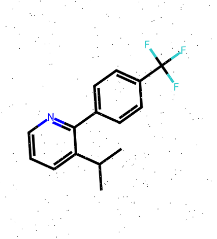 CC(C)c1cccnc1-c1ccc(C(F)(F)F)cc1